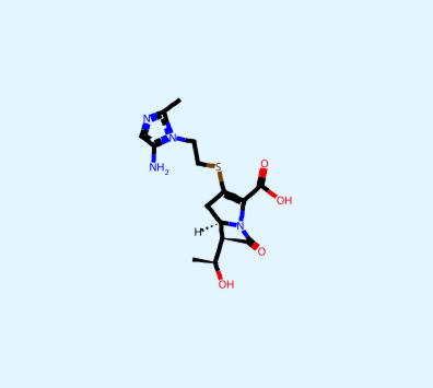 Cc1ncc(N)n1CCSC1=C(C(=O)O)N2C(=O)[C@@H]([C@H](C)O)[C@H]2C1